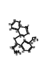 N/N=C(/Cc1ccnc2ccccc12)c1cccc(C(F)(F)F)c1